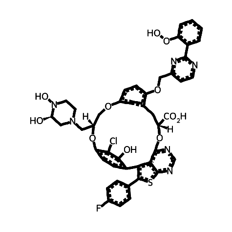 O=C(O)[C@H]1Cc2cc(ccc2OCc2ccnc(-c3ccccc3OO)n2)OC[C@@H](CN2CCN(O)[C@H](O)C2)Oc2ccc(c(O)c2Cl)-c2c(-c3ccc(F)cc3)sc3ncnc(c23)O1